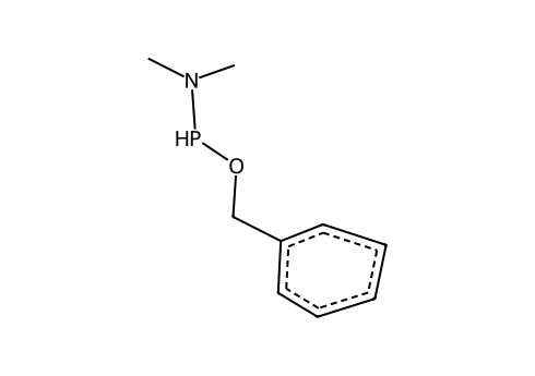 CN(C)POCc1ccccc1